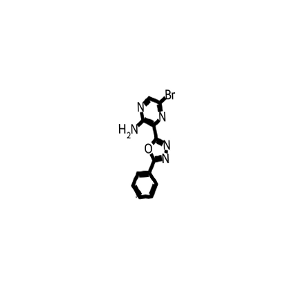 Nc1ncc(Br)nc1-c1nnc(-c2cc[c]cc2)o1